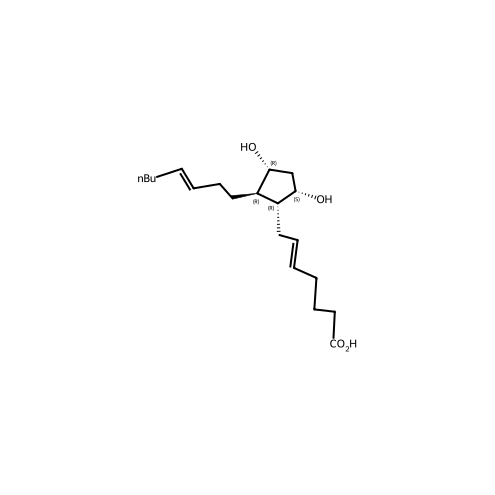 CCCCC=CCC[C@@H]1[C@@H](CC=CCCCC(=O)O)[C@@H](O)C[C@H]1O